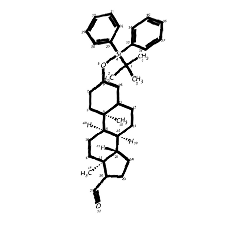 CC(C)(C)[Si](OC1CC[C@@]2(C)C(CC[C@@H]3[C@H]2CC[C@]2(C)C(C=O)CC[C@@H]32)C1)(c1ccccc1)c1ccccc1